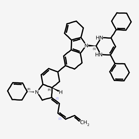 C=C/C=C\C=C1/CN([C@H]2C=CCCC2)C2C=CC(C3=Cc4c5c(n([C@@H]6NC(C7=CC=CCC7)=CC(C7=CCCCC7)N6)c4CC3)CCC=C5)C[C@H]12